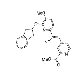 COC(=O)c1cc(/C=C(\C#N)c2ccc(OC)c(OC3Cc4ccccc4C3)n2)ccn1